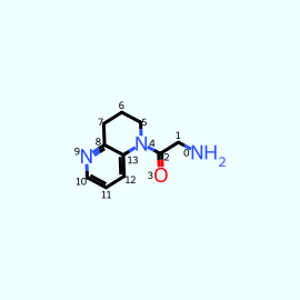 NCC(=O)N1CCCc2ncccc21